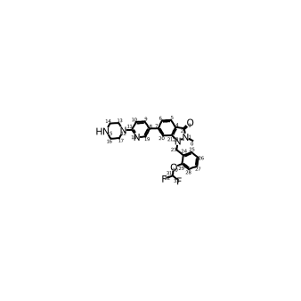 Cn1c(=O)c2ccc(-c3ccc(N4CCNCC4)nc3)cc2n1Cc1ccccc1OC(F)F